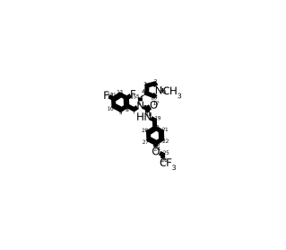 CN1CC[C@@H](CN(Cc2ccc(F)cc2F)C(=O)NCc2ccc(OCC(F)(F)F)cc2)C1